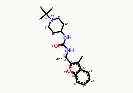 Cc1c([C@H](C)NC(=O)NC2CCN(C(C)(C)C)CC2)oc2ccccc12